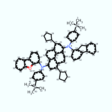 C[Si](C)(C)c1ccc(N(c2cccc3c2Cc2ccccc2-3)c2cc(C3CCCC3)c3ccc4c(N(c5ccc([Si](C)(C)C)cc5)c5cccc6c5oc5ccccc56)cc(C5CCCC5)c5ccc2c3c54)cc1